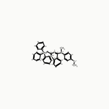 COc1ccc(N(C)c2nc(C[PH](c3ccccc3)(c3ccccc3)c3ccccc3)nc3ccccc23)cc1